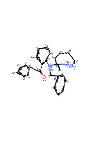 CC1(N(Cc2ccccc2)c2ccccc2C(=O)c2ccccc2)CCCCN1